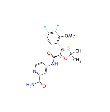 COc1c([C@@H]2SC(C)(C)O[C@H]2C(=O)Nc2ccnc(C(N)=O)c2)ccc(F)c1F